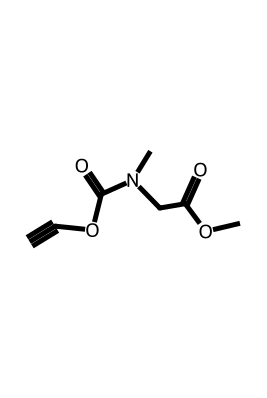 C#COC(=O)N(C)CC(=O)OC